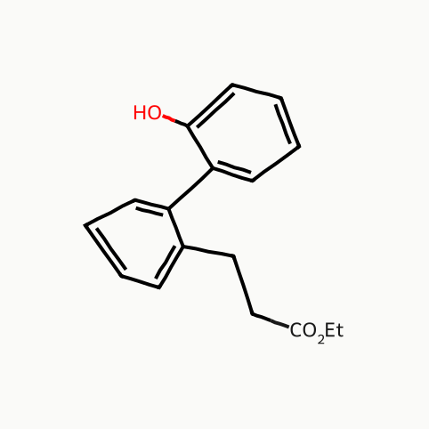 CCOC(=O)CCc1ccccc1-c1ccccc1O